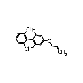 C=CCOc1cc(F)c(-c2c(Cl)[c]ccc2Cl)c(F)c1